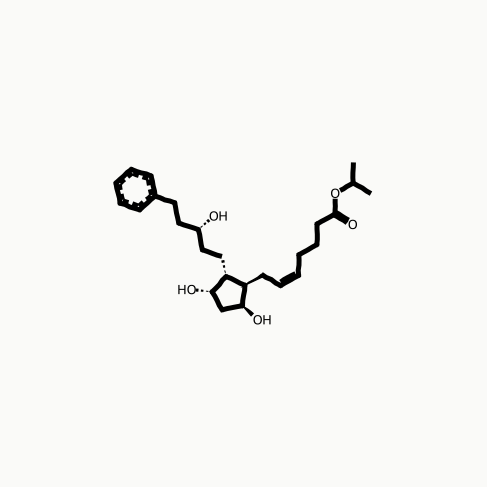 CC(C)OC(=O)CCC/C=C\C[C@@H]1[C@@H](CC[C@@H](O)CCc2ccccc2)[C@@H](O)C[C@@H]1O